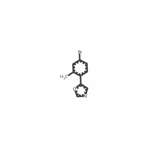 Cc1cc(Br)ccc1-c1cnco1